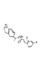 CC(NC(=O)C=Cc1ccc(F)cc1F)c1ccc2c(c1)CCO2